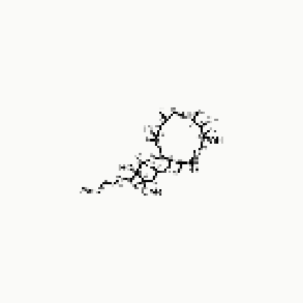 COCCNC[C@]1(O)[C@H](C)O[C@@H](OC2C(C)CC(C)(O)CC(C)CNC(C)C(O)C(C)(O)COC(=O)C2C)C[C@@]1(C)OC